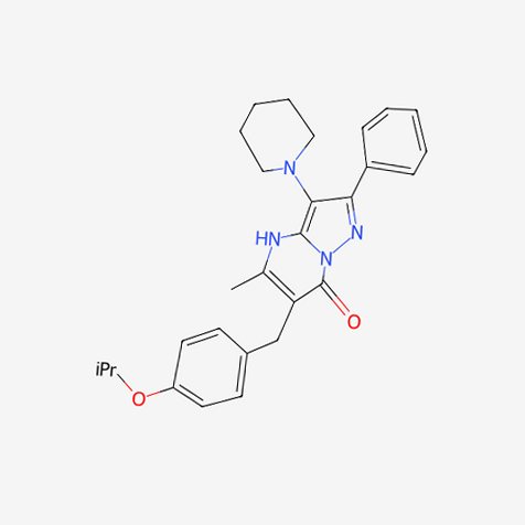 Cc1[nH]c2c(N3CCCCC3)c(-c3ccccc3)nn2c(=O)c1Cc1ccc(OC(C)C)cc1